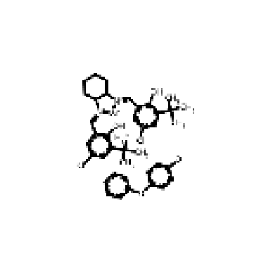 CC(C)(C)c1cc(Cl)cc(C=[N+]2[Mn][N+](=Cc3cc(Cl)cc(C(C)(C)C)c3O)C3CCCCC32)c1O.[O-]c1ccc(Oc2ccccc2)cc1